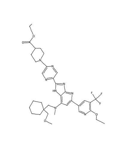 CCOC(=O)C1CCN(c2cnc(-c3nc4nc(-c5cnc(OCC)c(C(F)(F)F)c5)cc(N(C)CC5(COC)CCCCC5)c4[nH]3)cn2)CC1